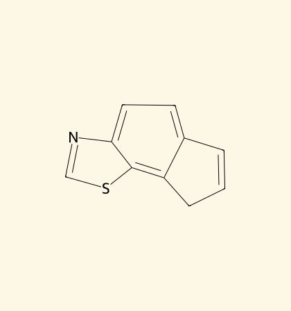 C1=Cc2ccc3ncsc3c2C1